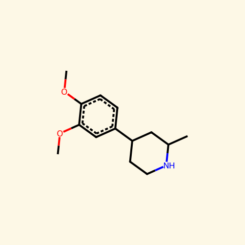 COc1ccc(C2CCNC(C)C2)cc1OC